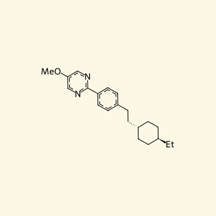 CC[C@H]1CC[C@H](CCc2ccc(-c3ncc(OC)cn3)cc2)CC1